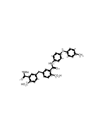 CNC(=O)c1cc(Cc2ccc(C(=O)O)c(C(=O)Nc3ccc(Oc4ccc(C)cc4)cc3)c2)ccc1C(=O)O